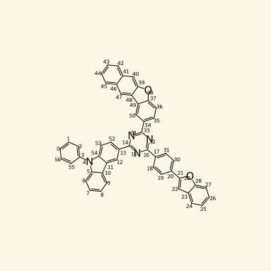 c1ccc(-n2c3ccccc3c3cc(-c4nc(-c5ccc(-c6cc7ccccc7o6)cc5)nc(-c5ccc6oc7cc8ccccc8cc7c6c5)n4)ccc32)cc1